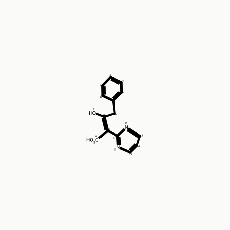 O=C(O)C(=C(O)Cc1ccccc1)c1ncccn1